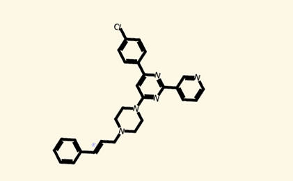 Clc1ccc(-c2cc(N3CCN(C/C=C/c4ccccc4)CC3)nc(-c3cccnc3)n2)cc1